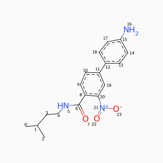 CC(C)CCNC(=O)c1ccc(-c2ccc(N)cc2)cc1[N+](=O)[O-]